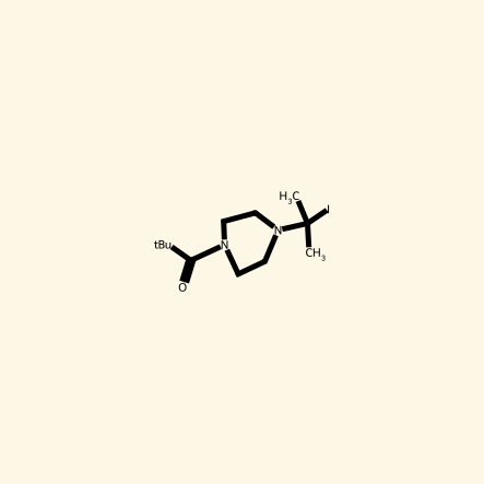 CC(C)(C)C(=O)N1CCN(C(C)(C)I)CC1